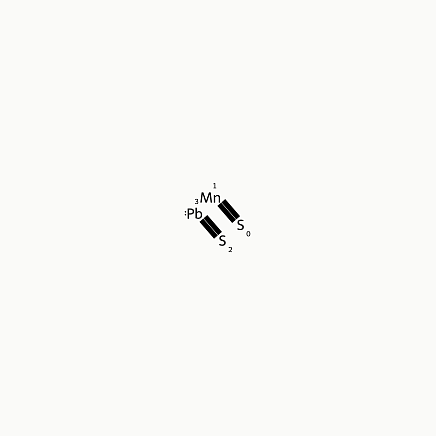 [S]=[Mn].[S]=[Pb]